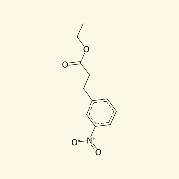 CCOC(=O)CCc1cccc([N+](=O)[O-])c1